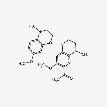 COc1cc2c(cc1C(C)=O)N(C)CCO2.COc1ccc2c(c1)OCCN2C